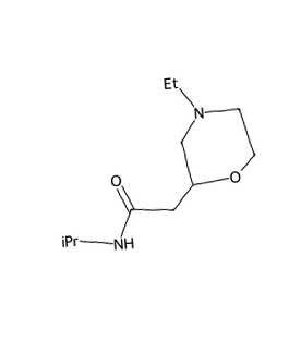 CCN1CCOC(CC(=O)NC(C)C)C1